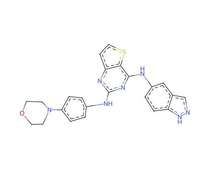 c1cc2nc(Nc3ccc(N4CCOCC4)cc3)nc(Nc3ccc4[nH]ncc4c3)c2s1